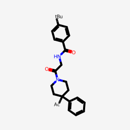 CC(=O)C1(c2ccccc2)CCN(C(=O)CNC(=O)c2ccc(C(C)(C)C)cc2)CC1